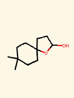 CC1(C)CCC2(CCC(O)O2)CC1